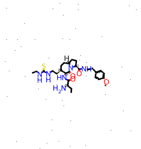 CCNC(=S)NCC[C@H]1CC[C@H]2CC[C@@H](C(=O)NCCc3ccc(OC)cc3)N2C(=O)[C@H]1NC(=O)[C@@H](N)CC